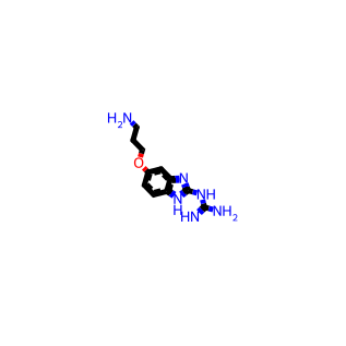 N=C(N)Nc1nc2cc(OCCCN)ccc2[nH]1